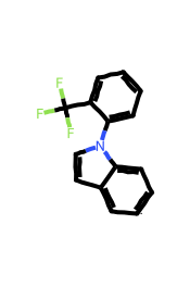 FC(F)(F)c1ccccc1-n1ccc2c[c]ccc21